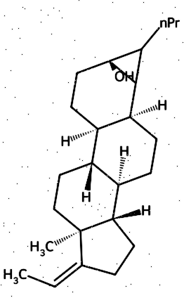 C/C=C1/CC[C@H]2[C@@H]3CC[C@@H]4C5C(CCC)[C@@]5(O)CC[C@@H]4[C@H]3CC[C@]12C